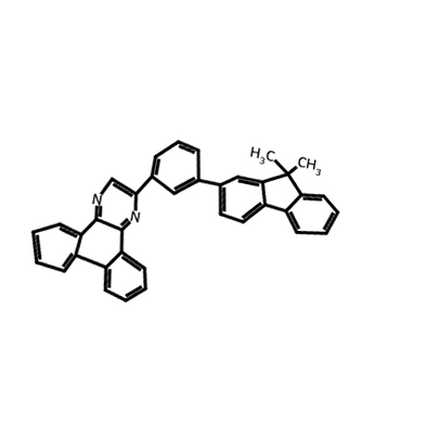 CC1(C)c2ccccc2-c2ccc(-c3cccc(-c4cnc5c6ccccc6c6ccccc6c5n4)c3)cc21